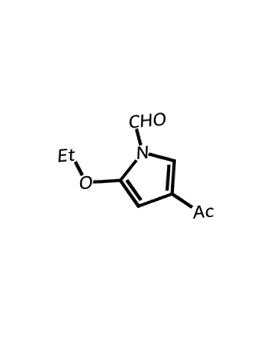 CCOc1cc(C(C)=O)cn1C=O